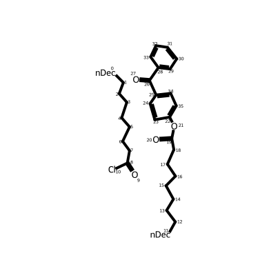 CCCCCCCCCCCCCCCCCC(=O)Cl.CCCCCCCCCCCCCCCCCC(=O)Oc1ccc(C(=O)c2ccccc2)cc1